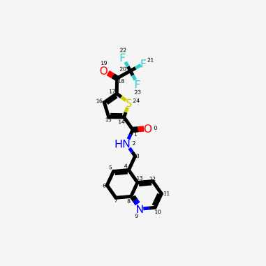 O=C(NCC1=CCCc2ncccc21)c1ccc(C(=O)C(F)(F)F)s1